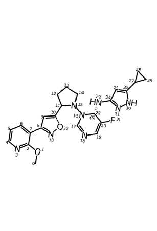 COc1ncccc1-c1cc(C2CCCN2N2C=NC=C(F)[C@H]2Nc2cc(C3CC3)[nH]n2)on1